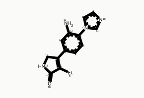 CCC1=C(c2ccc(-n3ccnc3)c(N)c2)CNC1=O